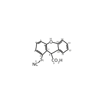 N#CSc1cccc2c1C(C(=O)O)c1ccccc1O2